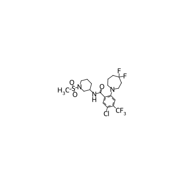 CS(=O)(=O)N1CCCC(NC(=O)c2cc(Cl)c(C(F)(F)F)cc2N2CCCC(F)(F)CC2)C1